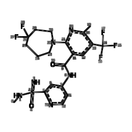 CNS(=N)(=O)c1cc(NC(=O)c2cc(C(F)(F)F)c(C)nc2N2CCCC(F)(F)CC2)ccn1